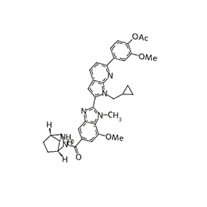 COc1cc(-c2ccc3cc(-c4nc5cc(C(=O)N6C[C@H]7CC[C@@H]6[C@@H]7N)cc(OC)c5n4C)n(CC4CC4)c3n2)ccc1OC(C)=O